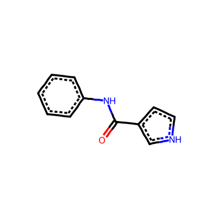 O=C(Nc1ccccc1)c1cc[nH]c1